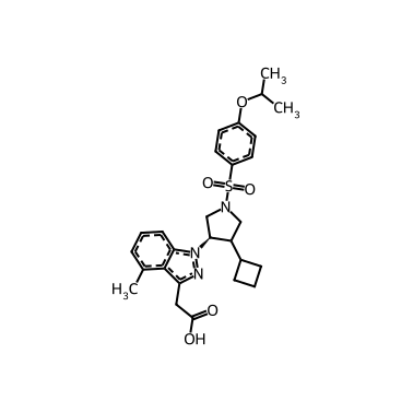 Cc1cccc2c1c(CC(=O)O)nn2[C@H]1CN(S(=O)(=O)c2ccc(OC(C)C)cc2)CC1C1CCC1